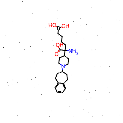 NC(CCCCB(O)O)(C(=O)O)C1CCN(C2CCc3ccccc3CC2)CC1